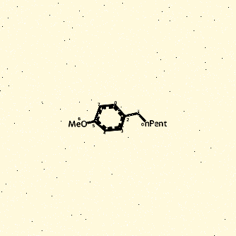 [CH2]CCCCCc1ccc(OC)cc1